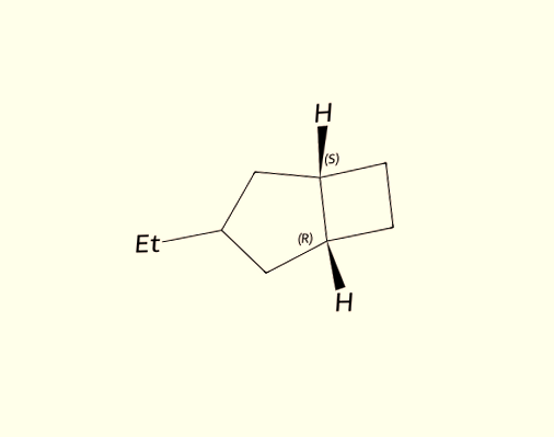 CCC1C[C@H]2CC[C@H]2C1